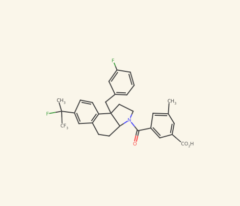 Cc1cc(C(=O)O)cc(C(=O)N2CCC3(Cc4cccc(F)c4)c4ccc(C(C)(F)C(F)(F)F)cc4CCC23)c1